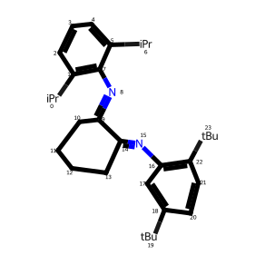 CC(C)c1cccc(C(C)C)c1N=C1CCCCC1=Nc1cc(C(C)(C)C)ccc1C(C)(C)C